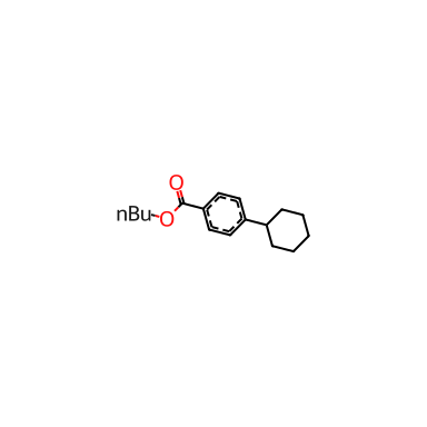 CCCCOC(=O)c1ccc(C2CCCCC2)cc1